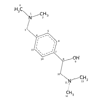 CN(C)Cc1ccc(C(O)CN(C)C)cc1